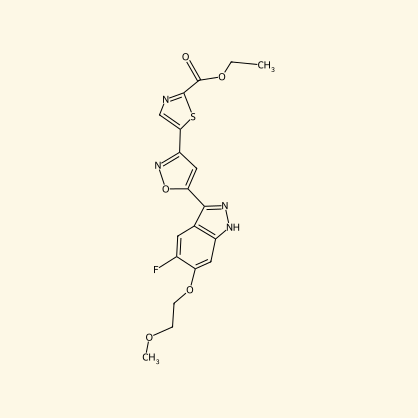 CCOC(=O)c1ncc(-c2cc(-c3n[nH]c4cc(OCCOC)c(F)cc34)on2)s1